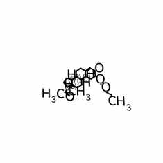 CCCOCOC1C[C@H]2C(=CC1=O)CC[C@@H]1[C@@H]2CC[C@]2(C)[C@@H](C(C)=O)CC[C@@H]12